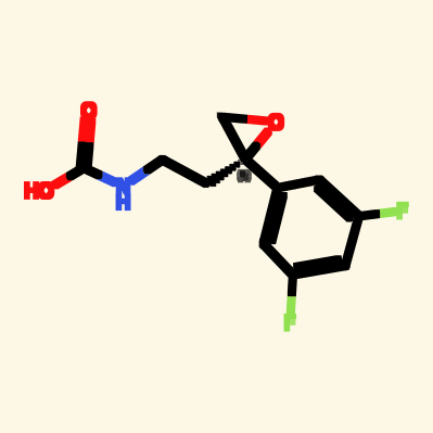 O=C(O)NCC[C@]1(c2cc(F)cc(F)c2)CO1